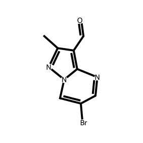 Cc1nn2cc(Br)cnc2c1C=O